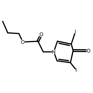 CCCOC(=O)Cn1cc(I)c(=O)c(I)c1